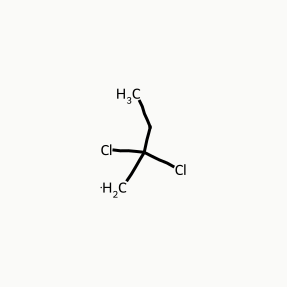 [CH2]C(Cl)(Cl)CC